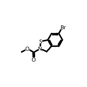 COC(=O)N1Cc2ccc(Br)cc2S1